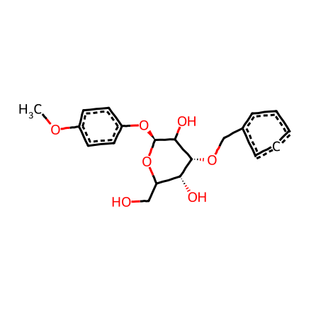 COc1ccc(O[C@@H]2OC(CO)[C@@H](O)[C@@H](OCc3ccccc3)C2O)cc1